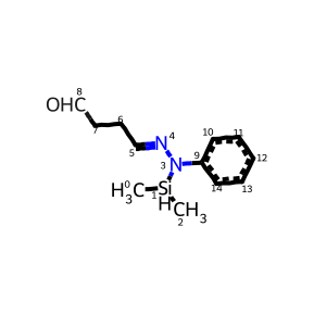 C[SiH](C)N(N=CCCC=O)c1ccccc1